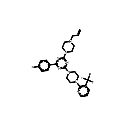 C=CCN1CCN(c2nc(-c3ccc(F)cc3)nc(N3CCN(c4ncccc4C(F)(F)F)CC3)n2)CC1